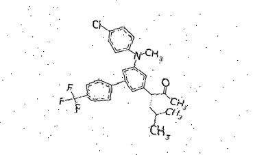 CC(=O)[C@H](CC(C)C)c1cc(-c2ccc(C(F)(F)F)cc2)cc(N(C)c2ccc(Cl)cc2)c1